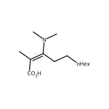 CCCCCCCC/C(=C(/C)C(=O)O)N(C)C